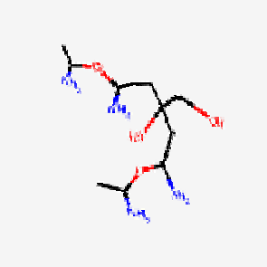 CC(N)OC(N)CC(O)(CO)CC(N)OC(C)N